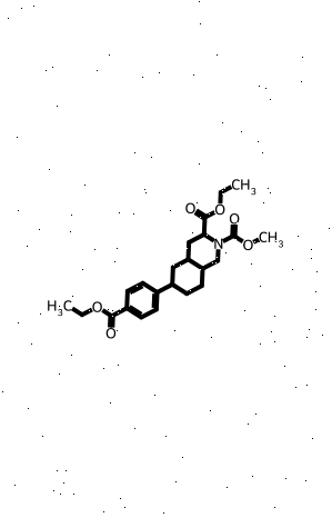 CCOC(=O)c1ccc(C2CCC3CN(C(=O)OC)C(C(=O)OCC)CC3C2)cc1